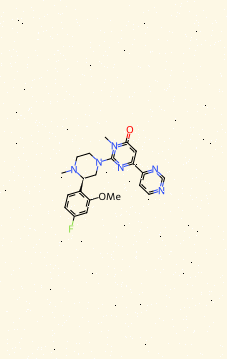 COc1cc(F)ccc1[C@@H]1CN(c2nc(-c3ccncn3)cc(=O)n2C)CCN1C